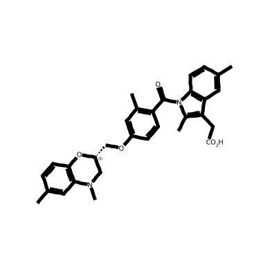 Cc1ccc2c(c1)N(C)C[C@@H](COc1ccc(C(=O)n3c(C)c(CC(=O)O)c4cc(C)ccc43)c(C)c1)O2